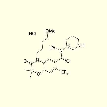 COCCCCN1C(=O)C(C)(C)Oc2cc(C(F)(F)F)c(C(=O)N(C(C)C)[C@@H]3CCCNC3)cc21.Cl